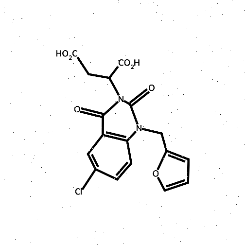 O=C(O)CC(C(=O)O)n1c(=O)c2cc(Cl)ccc2n(Cc2ccco2)c1=O